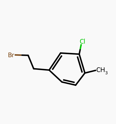 Cc1ccc(CCBr)cc1Cl